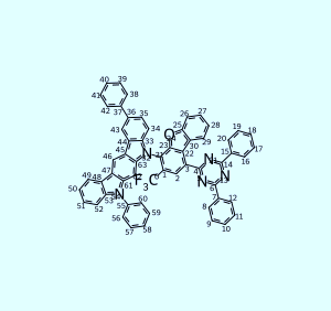 FC(F)(F)c1cc(-c2nc(-c3ccccc3)nc(-c3ccccc3)n2)c2c(oc3ccccc32)c1-n1c2ccc(-c3ccccc3)cc2c2cc3c4ccccc4n(-c4ccccc4)c3cc21